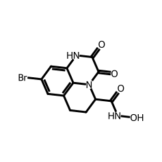 O=C(NO)C1CCc2cc(Br)cc3[nH]c(=O)c(=O)n1c23